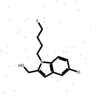 OCc1cc2cc(Cl)ccc2n1CCCCF